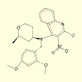 COc1ccc(CN(c2c([N+](=O)[O-])c(Cl)nc3ccccc23)[C@@H]2CCO[C@H](C)C2)c(OC)c1